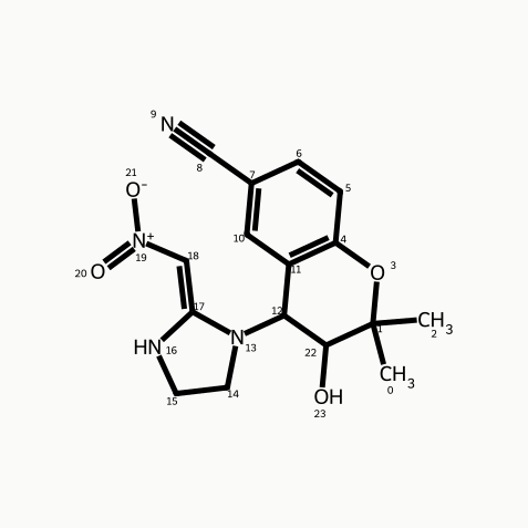 CC1(C)Oc2ccc(C#N)cc2C(N2CCNC2=C[N+](=O)[O-])C1O